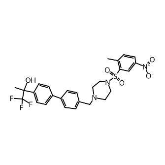 Cc1ccc([N+](=O)[O-])cc1S(=O)(=O)N1CCN(Cc2ccc(-c3ccc(C(C)(O)C(F)(F)F)cc3)cc2)CC1